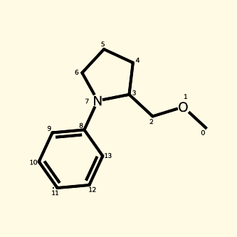 COCC1CCCN1c1cc[c]cc1